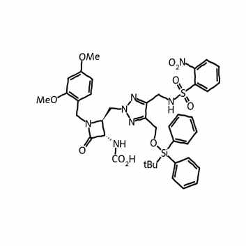 COc1ccc(CN2C(=O)[C@@H](NC(=O)O)[C@@H]2Cn2nc(CNS(=O)(=O)c3ccccc3[N+](=O)[O-])c(CO[Si](c3ccccc3)(c3ccccc3)C(C)(C)C)n2)c(OC)c1